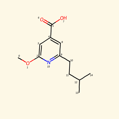 COc1cc(C(=O)O)cc(CCC(C)C)n1